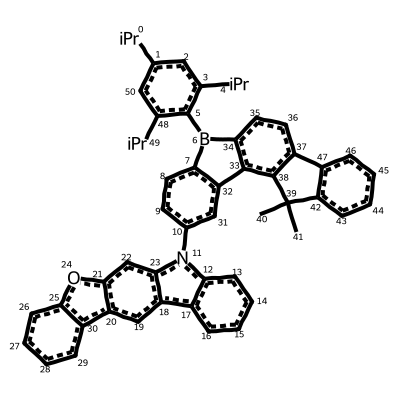 CC(C)c1cc(C(C)C)c(B2c3ccc(-n4c5ccccc5c5cc6c(cc54)oc4ccccc46)cc3-c3c2ccc2c3C(C)(C)c3ccccc3-2)c(C(C)C)c1